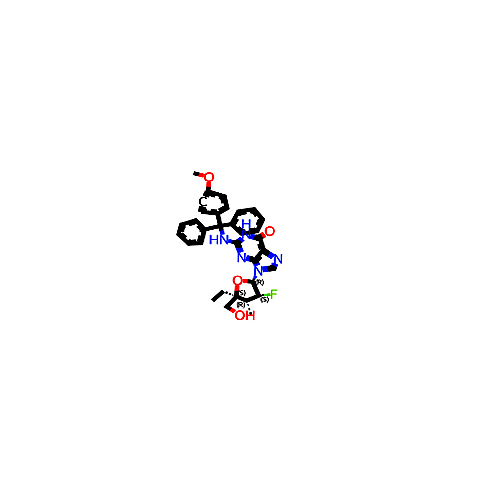 CC[C@]1(CO)O[C@@H](n2cnc3c(=O)[nH]c(NC(c4ccccc4)(c4ccccc4)c4ccc(OC)cc4)nc32)[C@@H](F)[C@@H]1C